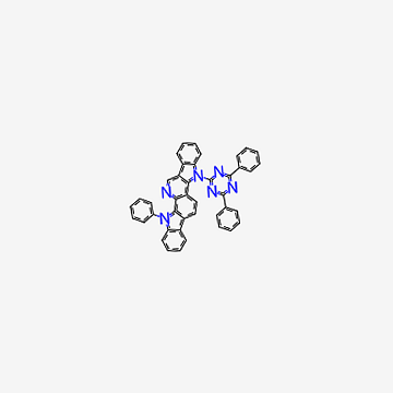 c1ccc(-c2nc(-c3ccccc3)nc(-n3c4ccccc4c4cnc5c(ccc6c7ccccc7n(-c7ccccc7)c65)c43)n2)cc1